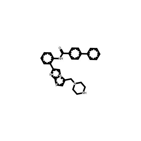 O=C(Nc1ccccc1-c1cn2c(CN3CCNCC3)csc2n1)c1ccc(-c2ccccc2)cc1